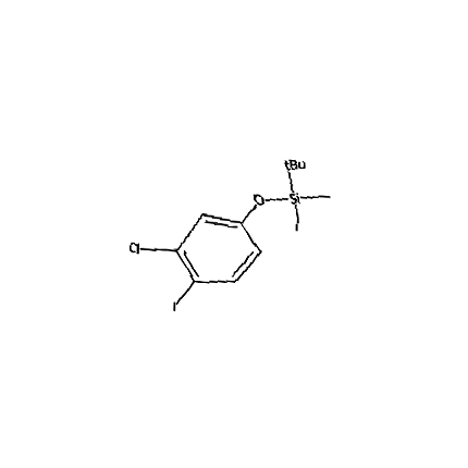 CC(C)(C)[Si](C)(C)Oc1ccc(I)c(Cl)c1